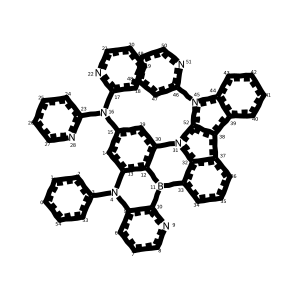 c1ccc(N2c3cccnc3B3c4c2cc(N(c2ccccn2)c2ccccn2)cc4-n2c4c3cccc4c3c4ccccc4n(-c4ccccn4)c32)cc1